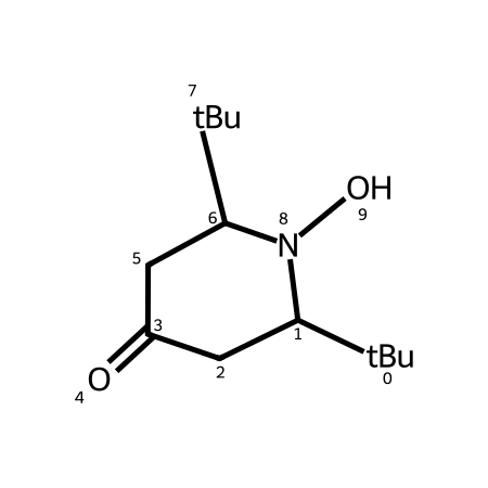 CC(C)(C)C1CC(=O)CC(C(C)(C)C)N1O